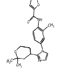 Cc1cc(-n2ccnc2C2CCOC(C)(C)C2)ccc1NC(=O)c1ccco1